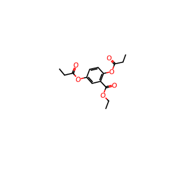 CCOC(=O)c1cc(OC(=O)CC)ccc1OC(=O)CC